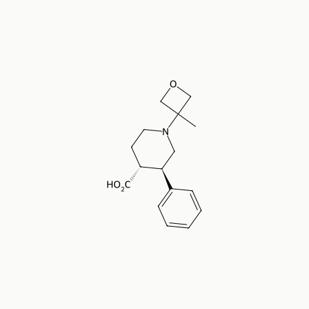 CC1(N2CC[C@@H](C(=O)O)[C@H](c3ccccc3)C2)COC1